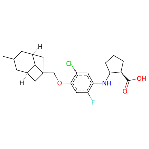 CC1C[C@@H]2CC3(COc4cc(F)c(NC5CCC[C@H]5C(=O)O)cc4Cl)C[C@H](C1)C23